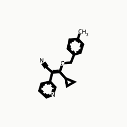 Cc1ccc(CO/C(=C(\C#N)c2cccnc2)C2CC2)cc1